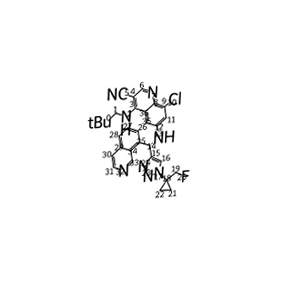 CC(C)(C)CNc1c(C#N)cnc2c(Cl)cc(N[C@H](c3cn(C4(CF)CC4)nn3)c3cccc4ccncc34)cc12